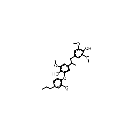 CCCc1ccc(Oc2cc(C(C)Cc3cc(OC)c(O)c(OC)c3)cc(OC)c2O)c(OC)c1